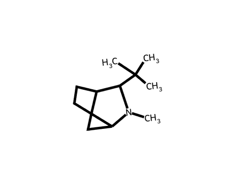 CN1C(C(C)(C)C)C2CCC23CC13